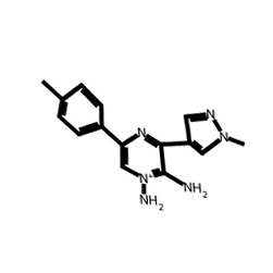 Cc1ccc(-c2c[n+](N)c(N)c(-c3cnn(C)c3)n2)cc1